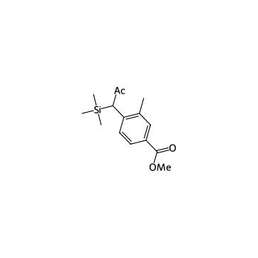 COC(=O)c1ccc(C(C(C)=O)[Si](C)(C)C)c(C)c1